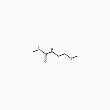 CNC(=O)NCCSC